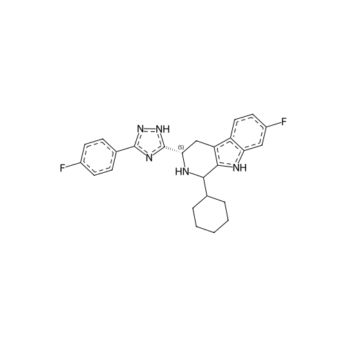 Fc1ccc(-c2n[nH]c([C@@H]3Cc4c([nH]c5cc(F)ccc45)C(C4CCCCC4)N3)n2)cc1